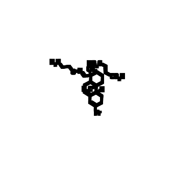 CC(C)C1=CC2=CCC3[C@@](C)(/C=N/OCCN)CCC[C@]3(C)[C@H]2CC1.O=C(O)/C=C/C(=O)O